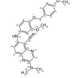 COc1ccc(COc2ccc(Nc3ccc4nc(N(C)C)cnc4c3C#N)cc2OC)cc1